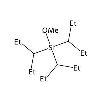 CCC(CC)[Si](OC)(C(CC)CC)C(CC)CC